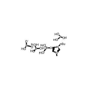 CCCCn1cc[n+](C)c1.OB(O)O.OB(O)O.OB(O)O.[O-]B(O)O